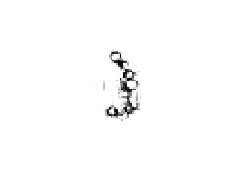 CN1C(=O)[C@@H](NC(=O)c2cc(Oc3ccccc3)ccn2)CCc2ccc(N3CC4(CCCCC4)C3)cc21